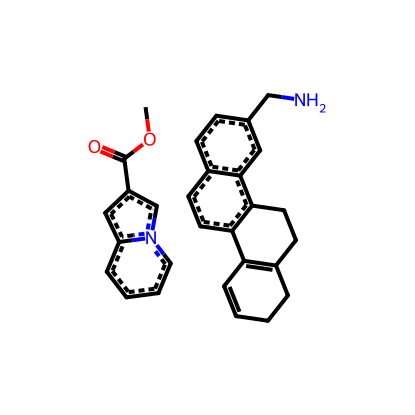 COC(=O)c1cc2ccccn2c1.NCc1ccc2ccc3c(c2c1)CCC1=C3C=CCC1